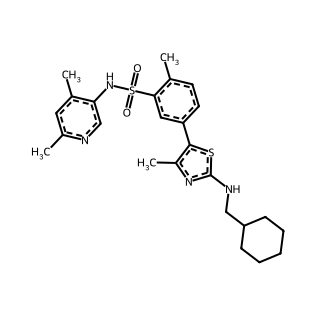 Cc1cc(C)c(NS(=O)(=O)c2cc(-c3sc(NCC4CCCCC4)nc3C)ccc2C)cn1